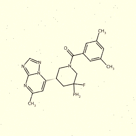 Cc1cc(C)cc(C(=O)N2C[C@@H](c3cc(C)nc4ncnn34)CC(F)(P)C2)c1